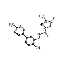 C[C@@H]1N[C@H](C(=O)NCc2cc(-c3cnc(C(F)(F)F)nc3)ccc2C#N)C[C@H]1F